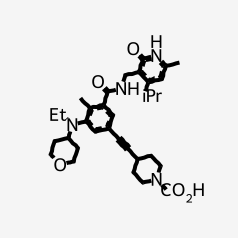 CCN(c1cc(C#CC2CCN(C(=O)O)CC2)cc(C(=O)NCc2c(C(C)C)cc(C)[nH]c2=O)c1C)C1CCOCC1